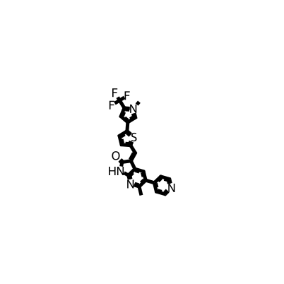 Cc1nc2c(cc1-c1ccncc1)C(=Cc1ccc(-c3cc(C(F)(F)F)n(C)c3)s1)C(=O)N2